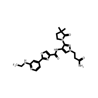 CC1(C)CCN(c2nn(CCC(N)=O)cc2NC(=O)c2coc(-c3ccnc(NCC(F)(F)F)c3)n2)C1=O